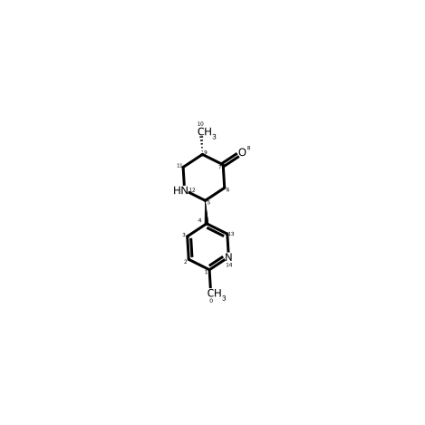 Cc1ccc([C@@H]2CC(=O)[C@@H](C)CN2)cn1